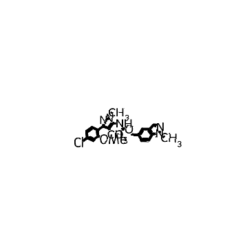 COc1cc(Cl)ccc1-c1nn(C)c(NC(=O)OCc2ccc3c(cnn3C)c2)c1C